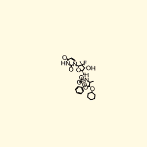 CC(NP(=O)(OC[C@H]1O[C@@H](n2ccc(=O)[nH]c2=O)[C@](C)(F)[C@@H]1O)Oc1ccccc1)C(=O)OC1CCCCC1